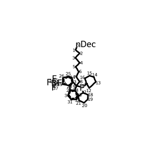 CCCCCCCCCCCCCCCCCCC1(P(C2CCCCC2)C2CCCCC2)c2ccccc2-c2ccccc21.F[B-](F)(F)F